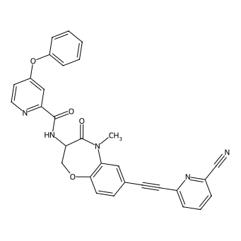 CN1C(=O)C(NC(=O)c2cc(Oc3ccccc3)ccn2)COc2ccc(C#Cc3cccc(C#N)n3)cc21